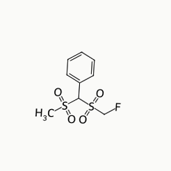 CS(=O)(=O)C(c1ccccc1)S(=O)(=O)CF